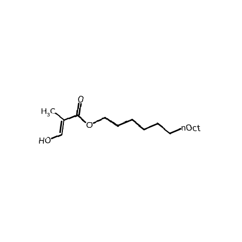 CCCCCCCCCCCCCCOC(=O)C(C)=CO